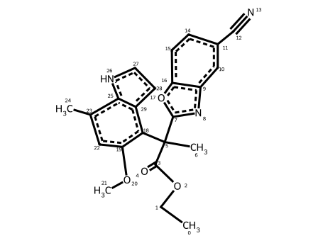 CCOC(=O)C(C)(c1nc2cc(C#N)ccc2o1)c1c(OC)cc(C)c2[nH]ccc12